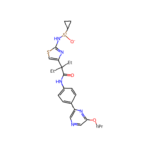 CCCOc1cncc(-c2ccc(NC(=O)C(CC)(CC)c3csc(N[S+]([O-])C4CC4)n3)cc2)n1